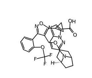 O=C(O)c1cnc2ccc(N3C4CC[C@H]3CC(OCc3c(-c5ccccc5OC(F)(F)F)noc3C3CC3)C4)nn12